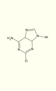 CC(C)N1C=NC2C(N)=NC(Cl)=NC21